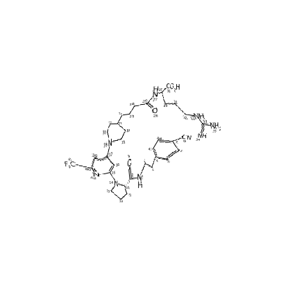 N#Cc1ccc(CCNC(=O)[C@@H]2CCCN2c2cc(N3CCC(CCCC(=O)NC(CCCNC(=N)N)C(=O)O)CC3)cc(C(F)(F)F)n2)cc1